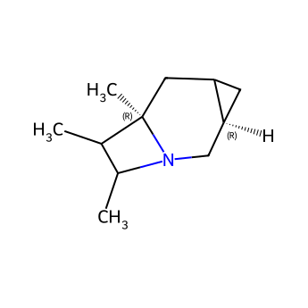 CC1C(C)[C@@]2(C)CC3C[C@H]3CN12